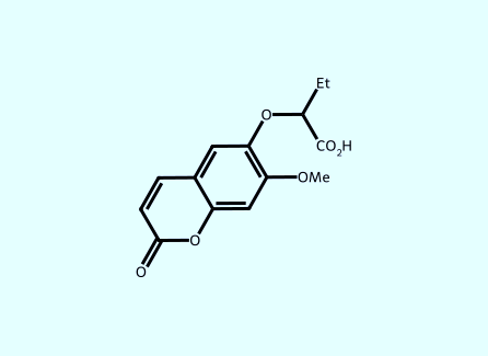 CCC(Oc1cc2ccc(=O)oc2cc1OC)C(=O)O